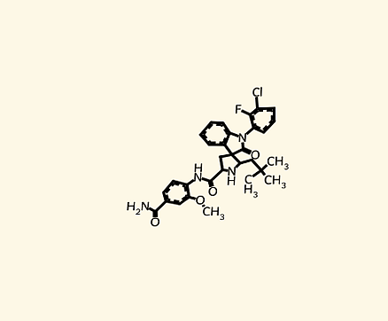 COc1cc(C(N)=O)ccc1NC(=O)C1CC2(C(=O)N(c3cccc(Cl)c3F)c3ccccc32)C(CC(C)(C)C)N1